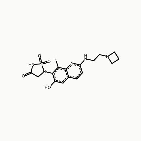 O=C1CN(c2c(O)cc3ccc(NCCN4CCC4)nc3c2F)S(=O)(=O)N1